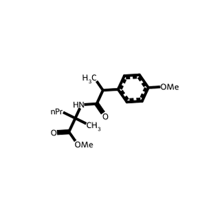 CCCC(C)(NC(=O)C(C)c1ccc(OC)cc1)C(=O)OC